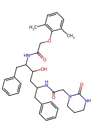 Cc1cccc(C)c1OCC(=O)NC(Cc1ccccc1)C(O)CC(Cc1ccccc1)NC(=O)CN1CCCNC1=O